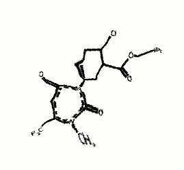 CC(C)OC(=O)C1CC(n2c(=O)cc(C(F)(F)F)n(C)c2=O)=CCC1Cl